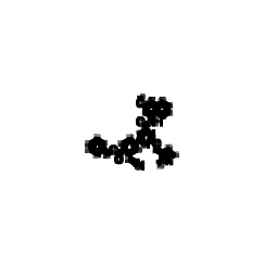 COc1cc(NC(=O)c2cc(N3CCN(C(=O)OCc4ccccc4)[C@@H](CC#N)C3)nc(OCc3ccnn3C)n2)c2ccccc2c1